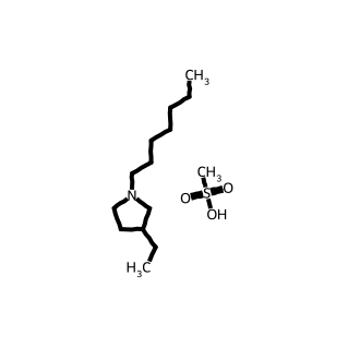 CCCCCCCN1CCC(CC)C1.CS(=O)(=O)O